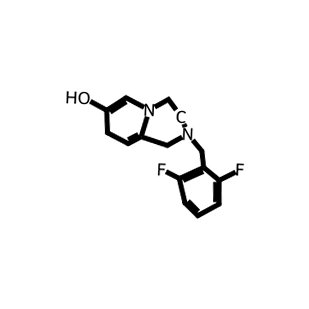 OC1=CN2CCN(Cc3c(F)cccc3F)CC2=CC1